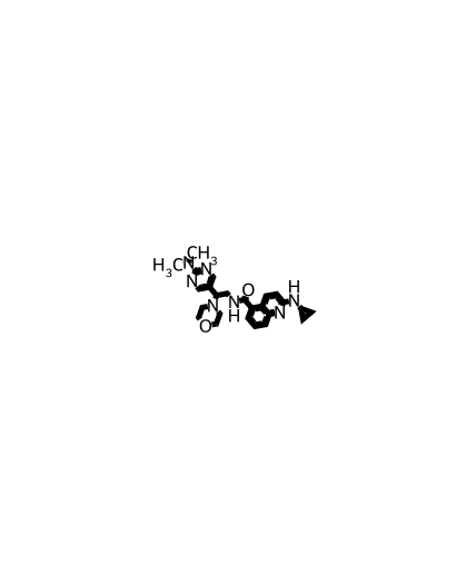 CN(C)c1ncc(C(CNC(=O)c2cccc3nc(NC4CC4)ccc23)N2CCOCC2)cn1